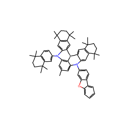 Cc1cc2c3c(c1)N(c1ccc4c(c1)oc1ccccc14)c1cc4c(cc1B3c1cc3c(cc1N2c1ccc2c(c1)C(C)(C)CCC2(C)C)C(C)(C)CCC3(C)C)C(C)(C)CCC4(C)C